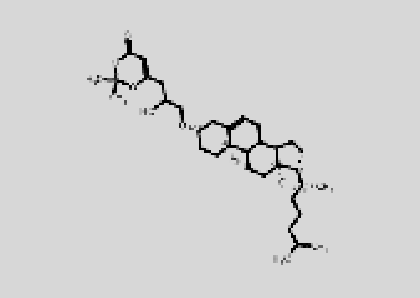 CC(C)CCC[C@@H](C)[C@H]1CCC2C3CC=C4C[C@@H](OCC(O)CC5=CC(=O)OC(C)(C)O5)CC[C@]4(C)C3CC[C@@]21C